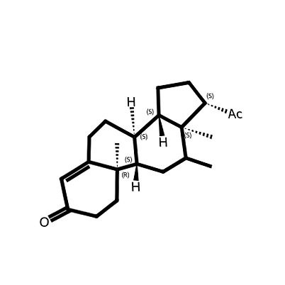 CC(=O)[C@H]1CC[C@H]2[C@@H]3CCC4=CC(=O)CC[C@]4(C)[C@H]3CC(C)[C@]12C